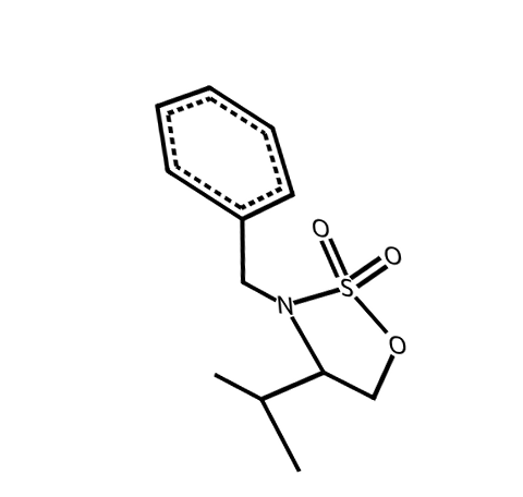 CC(C)C1COS(=O)(=O)N1Cc1ccccc1